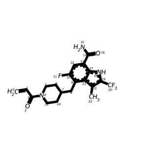 C=CC(=O)N1CCC(Cc2c(F)cc(C(N)=O)c3[nH]c(C(F)(F)F)c(C)c23)CC1